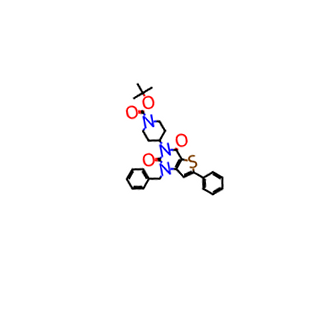 CC(C)(C)OC(=O)N1CCC(n2c(=O)c3sc(-c4ccccc4)cc3n(Cc3ccccc3)c2=O)CC1